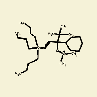 CCC[CH2][Sn]([CH]=C[C@@](O[SiH](C)C)(C1CCCCC1)C(C)(C)C)([CH2]CCC)[CH2]CCC